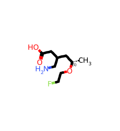 C[C@@H](CC(CN)CC(=O)O)OCCF